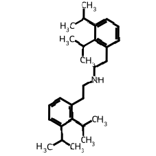 CC(C)c1cccc(CCNCCc2cccc(C(C)C)c2C(C)C)c1C(C)C